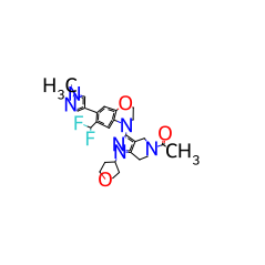 CC(=O)N1CCc2c(c(N3CCOc4cc(-c5cnn(C)c5)c(C(F)F)cc43)nn2C2CCOCC2)C1